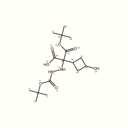 CC(C)(C)OC(=O)NNC(C(=O)O)(C(=O)OC(C)(C)C)C1CC(O)C1